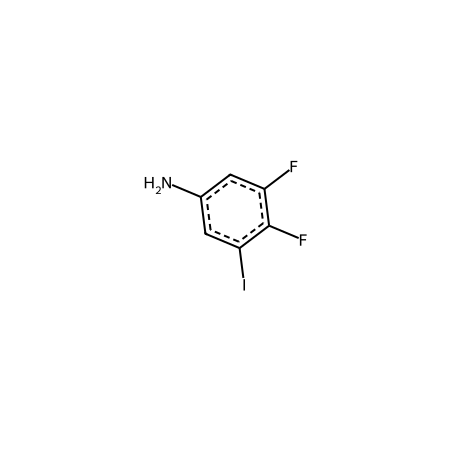 Nc1cc(F)c(F)c(I)c1